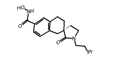 CC(C)CCN1CC[C@]2(CCc3cc(C(=O)NO)ccc3C2)C1=O